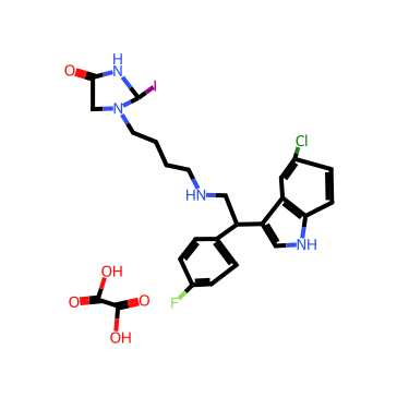 O=C(O)C(=O)O.O=C1CN(CCCCNCC(c2ccc(F)cc2)c2c[nH]c3ccc(Cl)cc23)C(I)N1